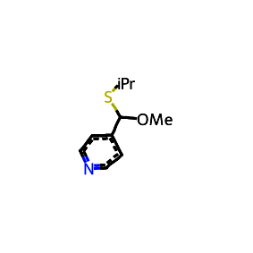 COC(SC(C)C)c1ccncc1